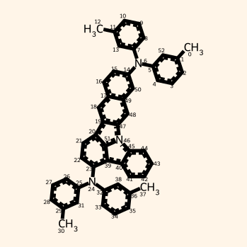 Cc1cccc(N(c2cccc(C)c2)c2ccc3cc4c5ccc(N(c6cccc(C)c6)c6cccc(C)c6)c6c7ccccc7n(c4cc3c2)c56)c1